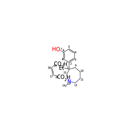 CCC1(c2cccc(O)c2)CCCCN(C)C1.O=C(O)/C=C\C(=O)O